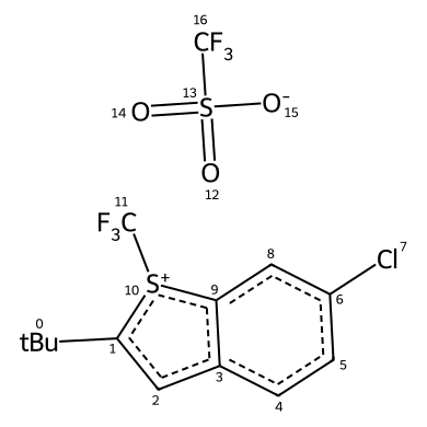 CC(C)(C)c1cc2ccc(Cl)cc2[s+]1C(F)(F)F.O=S(=O)([O-])C(F)(F)F